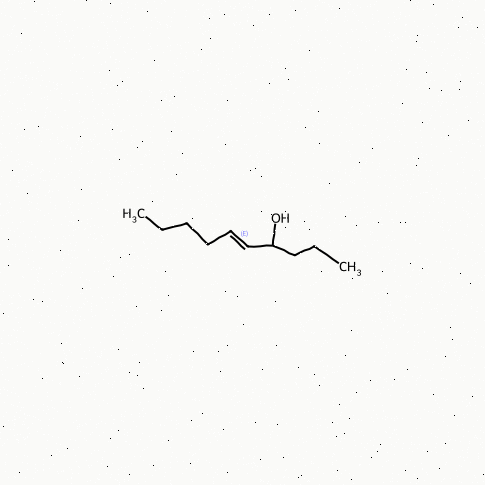 CCCC/C=C/C(O)CCC